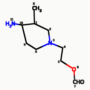 CC1CN(CCOC=O)CCC1N